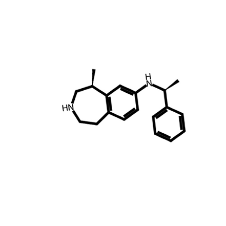 C[C@@H]1CNCCc2ccc(N[C@@H](C)c3ccccc3)cc21